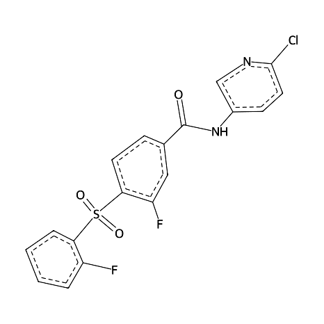 O=C(Nc1ccc(Cl)nc1)c1ccc(S(=O)(=O)c2ccccc2F)c(F)c1